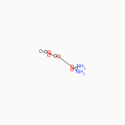 Nc1cc(N)cc(C(=O)OCCCCCCCCCCCOc2ccc(/C=C/C(=O)Oc3ccc(C4CCCCC4)cc3)cc2)c1